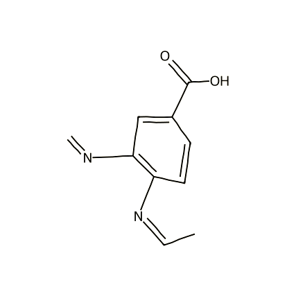 C=Nc1cc(C(=O)O)ccc1/N=C\C